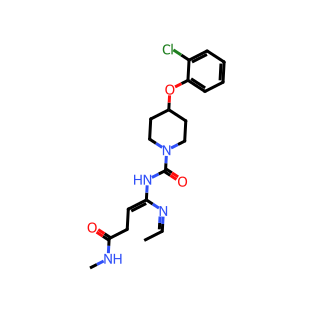 C/C=N\C(=C/CC(=O)NC)NC(=O)N1CCC(Oc2ccccc2Cl)CC1